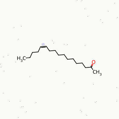 CCCC/C=C\CCCCCCCCCC(C)=O